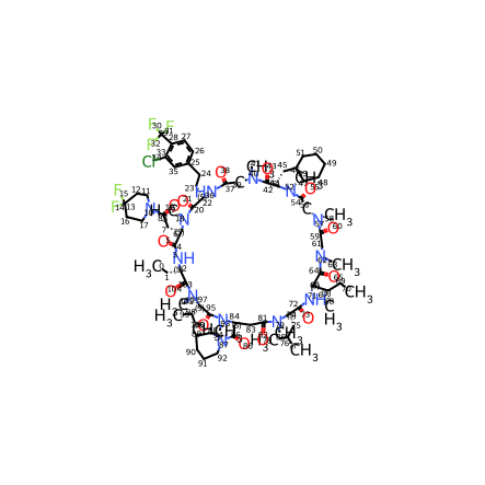 CC[C@@H]1NC(=O)[C@H](CC(=O)N2CCC(F)(F)CC2)N(C)C(=O)[C@H](CCc2ccc(C(F)(F)F)c(Cl)c2)NC(=O)CN(C)C(=O)[C@H](CC2CCCCC2)N(C)C(=O)CN(C)C(=O)CN(C)C(=O)[C@H]([C@@H](C)CC)NC(=O)[C@H](CC(C)C)N(C)C(=O)C[C@@H](C(=O)N2CCCCC2)N(C)C(=O)[C@H](C(C)C)N(C)C1=O